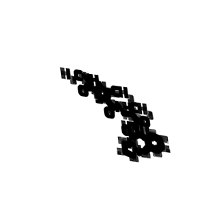 [2H][C@@]1(NC(=O)[C@H](C)CNC(=O)c2sc(C(=O)NC)nc2C)C(=O)N2CCCN2Cc2ccccc21